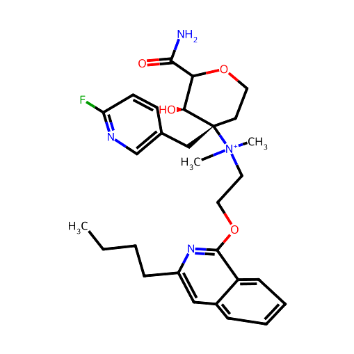 CCCCc1cc2ccccc2c(OCC[N+](C)(C)[C@@]2(Cc3ccc(F)nc3)CCOC(C(N)=O)[C@@H]2O)n1